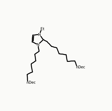 CCCCCCCCCCCCCCCCCC1N(CC)C=CN1CCCCCCCCCCCCCCCC